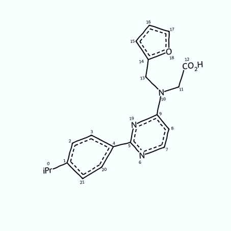 CC(C)c1ccc(-c2nccc(N(CC(=O)O)Cc3ccco3)n2)cc1